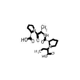 CCC(C(=O)O)N1CCC[C@H]1C(=O)N[C@@H](C)C(=O)N1CCC[C@H]1C(=O)O